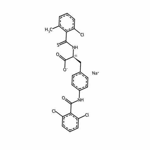 Cc1cccc(Cl)c1C(=S)N[C@@H](Cc1ccc(NC(=O)c2c(Cl)cccc2Cl)cc1)C(=O)[O-].[Na+]